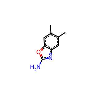 Cc1cc2nc(N)oc2cc1C